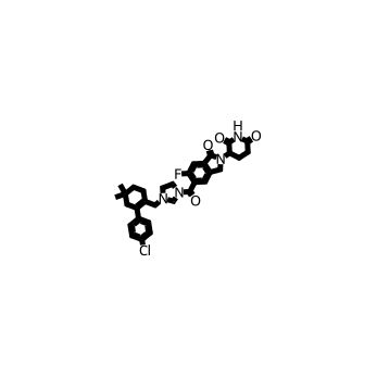 CC1(C)CCC(CN2CCN(C(=O)c3cc4c(cc3F)C(=O)N(C3CCC(=O)NC3=O)C4)C2)=C(c2ccc(Cl)cc2)C1